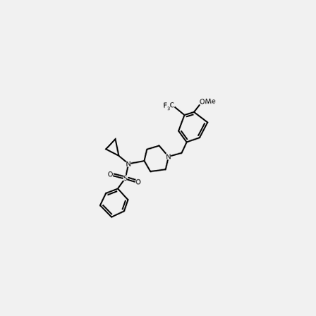 COc1ccc(CN2CCC(N(C3CC3)S(=O)(=O)c3ccccc3)CC2)cc1C(F)(F)F